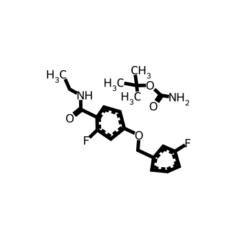 CC(C)(C)OC(N)=O.CCNC(=O)c1ccc(OCc2cccc(F)c2)cc1F